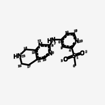 CS(=O)(=O)c1cc(Nc2ncc3c(n2)CNCC3)ccn1